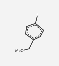 COCc1ccc([S])cc1